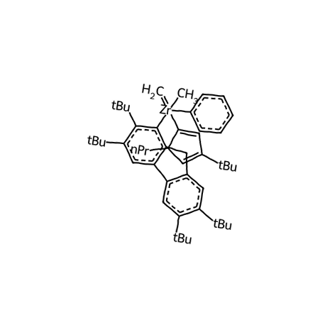 [CH2]=[Zr]([CH3])([C]1=CC(C(C)(C)C)=CC1CCC)([c]1ccccc1)[c]1c2c(cc(C(C)(C)C)c1C(C)(C)C)-c1cc(C(C)(C)C)c(C(C)(C)C)cc1C2